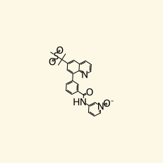 CC(C)(c1cc(-c2cccc(C(=O)Nc3ccc[n+]([O-])c3)c2)c2ncccc2c1)S(C)(=O)=O